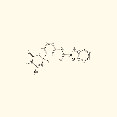 CN1C(=O)CC(C)(c2cc(NC(=O)c3cc4ccccc4[nH]3)ccn2)N=C1N